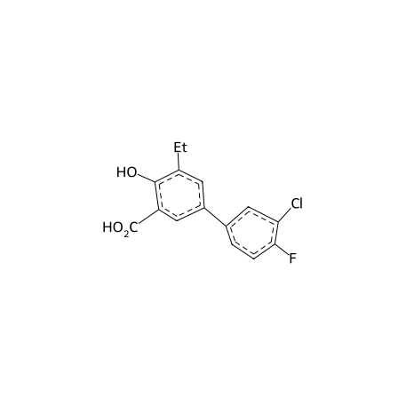 CCc1cc(-c2ccc(F)c(Cl)c2)cc(C(=O)O)c1O